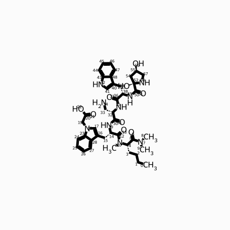 CCCC[C@@H](C(=O)N(C)C)N(C)C(=O)[C@H](Cc1cn(CC(=O)O)c2ccccc12)NC(=O)[C@H](CN)NC(=O)[C@H](Cc1c[nH]c2ccccc12)NC(=O)[C@@]1(O)C[C@@H](O)CN1